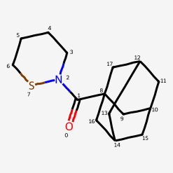 O=C(N1CCCCS1)C12CC3CC(CC(C3)C1)C2